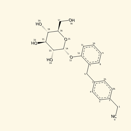 N#CCc1ccc(Cc2ccccc2O[C@H]2O[C@H](CO)[C@@H](O)[C@H](O)[C@H]2O)cc1